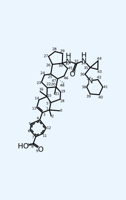 CC1(C)C(c2ccc(C(=O)O)cc2)=CCC2(C)C1CCC1(C)C2CCC2C3CCCC3(NC(=O)NC3(CN4CCCCC4)CC3)CC[C@]21C